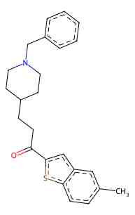 Cc1ccc2sc(C(=O)CCC3CCN(Cc4ccccc4)CC3)cc2c1